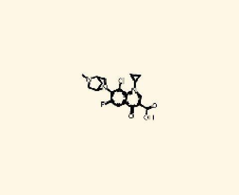 CN1CC2CC1CN2c1c(F)cc2c(=O)c(C(=O)O)cn(C3CC3)c2c1Cl